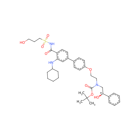 CC(C)(C)OC(=O)N(CCOc1ccc(-c2ccc(C(=O)NS(=O)(=O)CCCO)c(NC3CCCCC3)c2)cc1)C[C@H](O)c1ccccc1